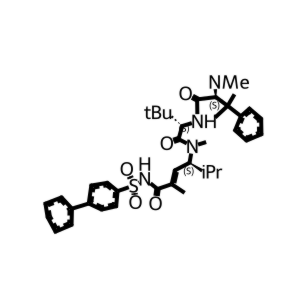 CN[C@H](C(=O)N[C@H](C(=O)N(C)[C@H](C=C(C)C(=O)NS(=O)(=O)c1ccc(-c2ccccc2)cc1)C(C)C)C(C)(C)C)C(C)(C)c1ccccc1